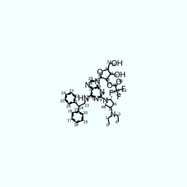 CCN(CC)C1CCN(c2nc(NCC(c3ccccc3)c3ccccc3)c3ncn(C4OC(CO)C(O)C4OC(=O)C(F)(F)F)c3n2)C1